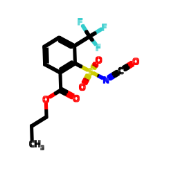 CCCOC(=O)c1cccc(C(F)(F)F)c1S(=O)(=O)N=C=O